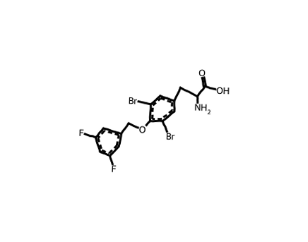 NC(Cc1cc(Br)c(OCc2cc(F)cc(F)c2)c(Br)c1)C(=O)O